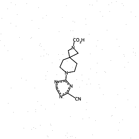 N#Cc1ncnc(N2CCC3(CC2)CN(C(=O)O)C3)n1